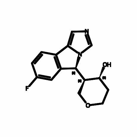 O[C@@H]1CCOC[C@H]1[C@H]1c2cc(F)ccc2-c2cncn21